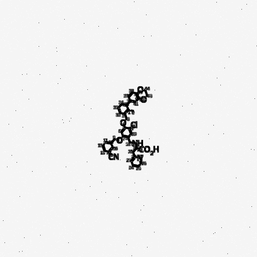 Cc1c(COc2cc(OCc3cccc(C#N)c3)c(CNC(Cc3ccccn3)C(=O)O)cc2Cl)cccc1-c1ccc2c(c1)OCCO2